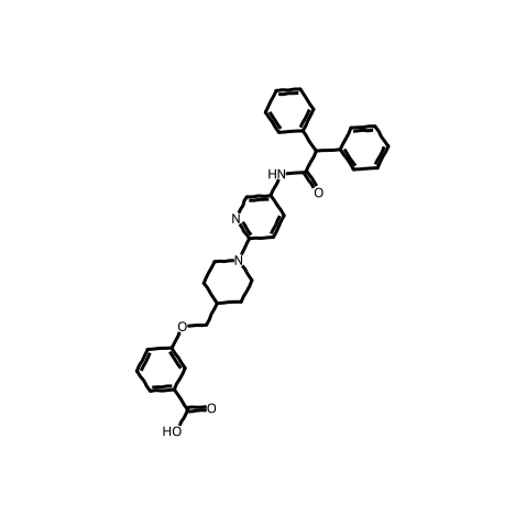 O=C(O)c1cccc(OCC2CCN(c3ccc(NC(=O)C(c4ccccc4)c4ccccc4)cn3)CC2)c1